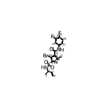 C=CC(C)NS(=O)(=O)c1nn(C)c(C(=O)Nc2ccc(F)c(F)c2)c1Br